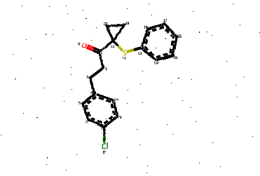 O=C(CCc1ccc(Cl)cc1)C1(Sc2ccccc2)CC1